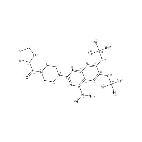 [2H]N([2H])c1nc(N2CCN(C(=O)C3CCCO3)CC2)nc2cc(OC([2H])([2H])[2H])c(OC([2H])([2H])[2H])cc12